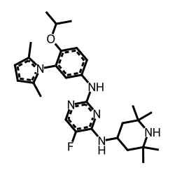 Cc1ccc(C)n1-c1cc(Nc2ncc(F)c(NC3CC(C)(C)NC(C)(C)C3)n2)ccc1OC(C)C